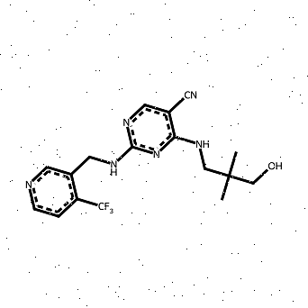 CC(C)(CO)CNc1nc(NCc2cnccc2C(F)(F)F)ncc1C#N